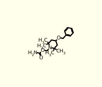 CC1(C)CC(OCc2ccccc2)CC(C)(C)N1COC(N)=O